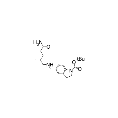 CC(CCC(N)=O)CNCc1ccc2c(c1)CCN2C(=O)OC(C)(C)C